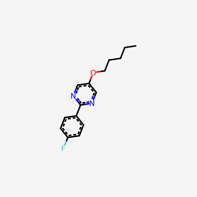 CCCCCOc1cnc(-c2ccc(F)cc2)nc1